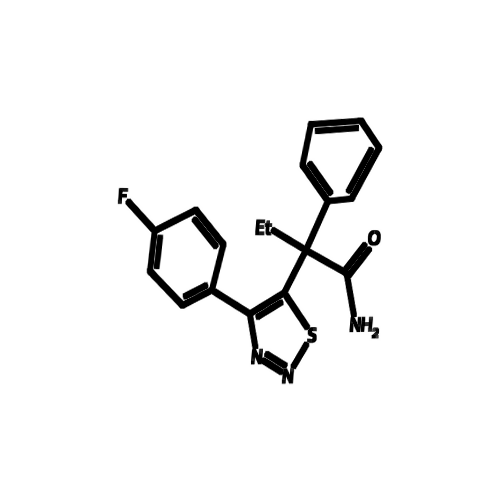 CCC(C(N)=O)(c1ccccc1)c1snnc1-c1ccc(F)cc1